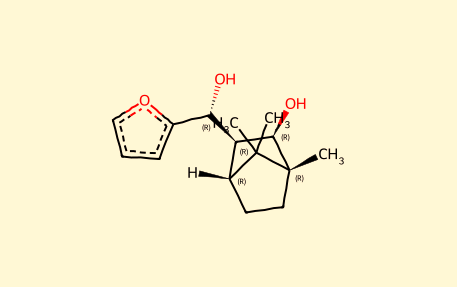 CC1(C)[C@@H]2CC[C@@]1(C)[C@H](O)[C@@H]2[C@@H](O)c1ccco1